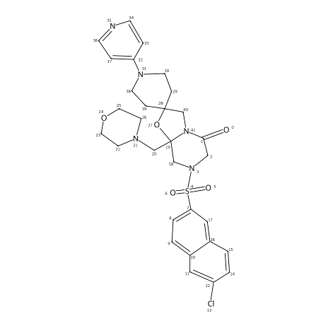 O=C1CN(S(=O)(=O)c2ccc3cc(Cl)ccc3c2)CC2(CN3CCOCC3)OC3(CCN(c4ccncc4)CC3)CN12